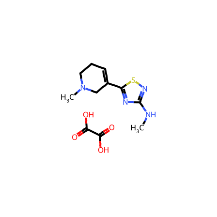 CNc1nsc(C2=CCCN(C)C2)n1.O=C(O)C(=O)O